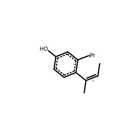 C/C=C(/C)c1ccc(O)cc1C(C)C